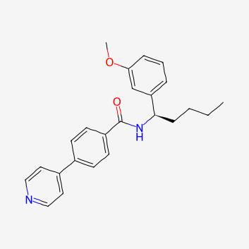 CCCC[C@@H](NC(=O)c1ccc(-c2ccncc2)cc1)c1cccc(OC)c1